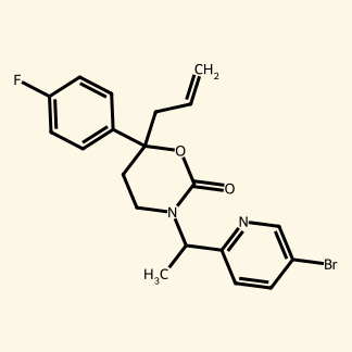 C=CCC1(c2ccc(F)cc2)CCN(C(C)c2ccc(Br)cn2)C(=O)O1